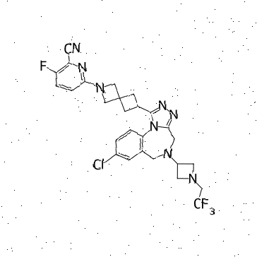 N#Cc1nc(N2CC3(CC(c4nnc5n4-c4ccc(Cl)cc4CN(C4CN(CC(F)(F)F)C4)C5)C3)C2)ccc1F